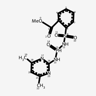 COC(=O)c1ccccc1S(=O)(=O)N[PH](=O)Nc1nc(C)cc(C)n1